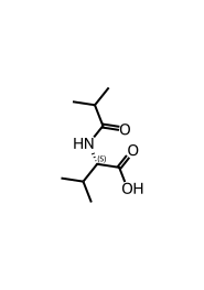 CC(C)C(=O)N[C@H](C(=O)O)C(C)C